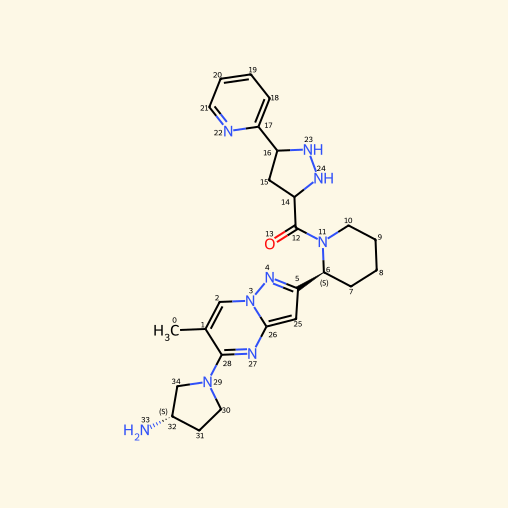 Cc1cn2nc([C@@H]3CCCCN3C(=O)C3CC(c4ccccn4)NN3)cc2nc1N1CC[C@H](N)C1